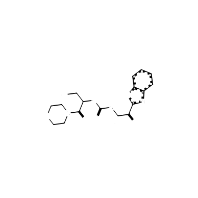 CC[C@H](NC(=O)OC(CC(C)C)C(=O)N1CCOCC1)C(=O)c1nc2ccccc2o1